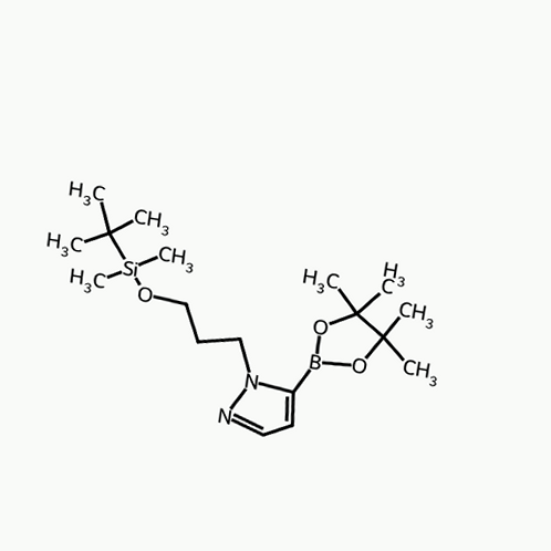 CC1(C)OB(c2ccnn2CCCO[Si](C)(C)C(C)(C)C)OC1(C)C